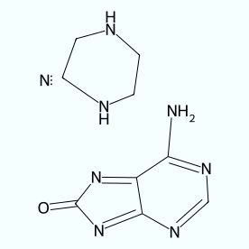 C1CNCCN1.Nc1ncnc2c1=NC(=O)N=2.[N]